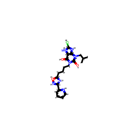 CC(C)Cn1c(=O)n(CCCCc2nc(-c3ccccn3)no2)c(=O)c2[nH]c(Cl)nc21